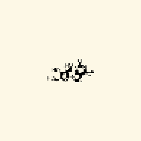 COc1nc(Cl)nc2c1ncn2[C@@H]1O[C@H](CO)[C@@H](O)[C@@]1(C)CO